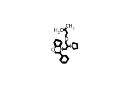 C=C(C)CCOCC(CN1c2ccccc2OCC1c1ccccc1)N1CCCC1